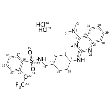 CN(C)c1nc(NC2CCC(CNS(=O)(=O)c3ccccc3OC(F)(F)F)CC2)nc2ccccc12.Cl.Cl